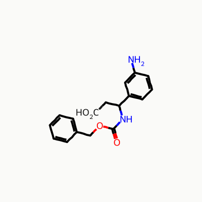 Nc1cccc(C(CC(=O)O)NC(=O)OCc2ccccc2)c1